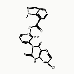 Cn1ncc2cccc(C(=O)Nc3cccc(-n4c(=O)[nH]c5nc(Cl)cnc5c4=O)c3Cl)c21